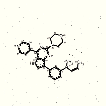 C/C=C\N(N)c1cccc(-c2c[nH]c3c(-c4ccncc4)nc(N4CCOCC4)nc23)c1